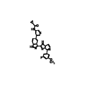 COc1cc(F)cc(-c2nccc3[nH]c(-c4n[nH]c5ccc(-c6cncc(NC(=O)C7CC7)c6)cc45)nc23)c1